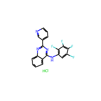 Cl.Fc1cc(Nc2nc(-c3cccnc3)nc3ccccc23)c(F)c(F)c1F